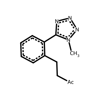 CC(=O)CCc1ccccc1-c1nnnn1C